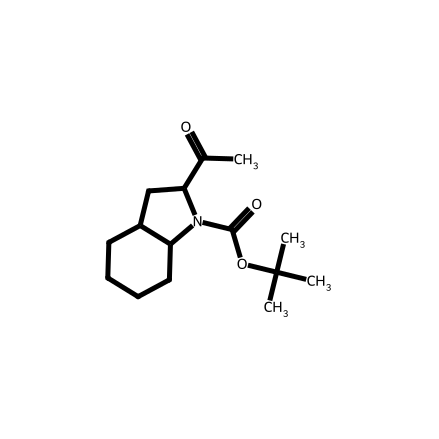 CC(=O)C1CC2CCCCC2N1C(=O)OC(C)(C)C